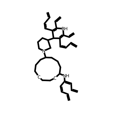 C=C/C=C\C1=C(C=C)BC(C=C)=C(/C=C\C=C)C1C1CCCN(C2CCCCCCCC(NC(/C=C\C=C)=C/C=C)CCC2)C1